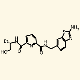 CC[C@@H](CO)NC(=O)c1cccc(C(=O)NCc2ccc3nc(N)sc3c2)n1